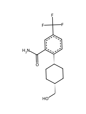 NC(=O)c1cc(C(F)(F)F)ccc1[C@H]1CC[C@@H](CO)CC1